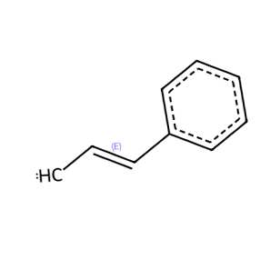 [CH]/C=C/c1ccccc1